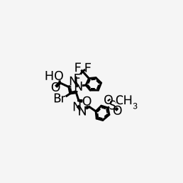 CS(=O)(=O)c1cccc(-c2nnc(-c3c(Br)c(C(=O)O)nn3-c3ccccc3C(F)(F)F)o2)c1